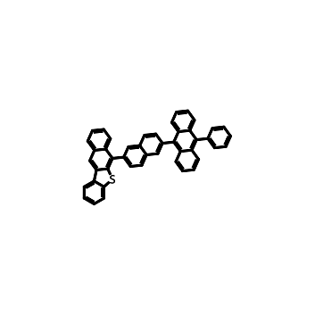 c1ccc(-c2c3ccccc3c(-c3ccc4cc(-c5c6ccccc6cc6c5sc5ccccc56)ccc4c3)c3ccccc23)cc1